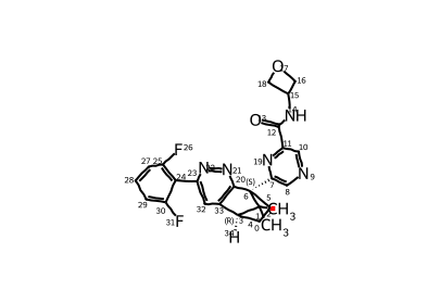 CC1(C)[C@H]2CC[C@]1(c1cncc(C(=O)NC3COC3)n1)c1nnc(-c3c(F)cccc3F)cc12